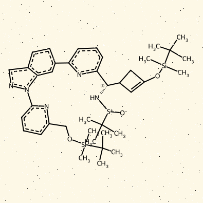 CC(C)(C)[S+]([O-])N[C@H](c1cccc(-c2ccc3cnn(-c4cccc(CO[Si](C)(C)C(C)(C)C)n4)c3c2)n1)C1C=C(O[Si](C)(C)C(C)(C)C)C1